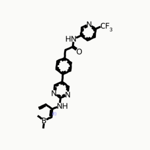 C=C/C(=C\B(C)C)Nc1ncc(-c2ccc(CC(=O)Nc3ccc(C(F)(F)F)nc3)cc2)cn1